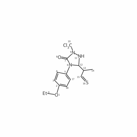 CCOc1ccc(N2C(=O)N(C(Cl)(Cl)Cl)NC2C(C)C=S)cc1